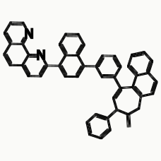 C=C1Cc2ccc3ccccc3c2C(c2cccc(-c3ccc(-c4ccc5ccc6cccnc6c5n4)c4ccccc34)c2)=CC1c1ccccc1